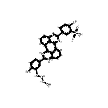 O=S(=O)(O)c1cc(-c2nc3cccc4c5nc(-c6ccc(Br)c(SOOO)c6)nc6cccc(c(n2)c34)c65)ccc1Br